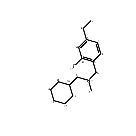 CCc1ccc(CN(C)CC2CCCCC2)c(F)c1